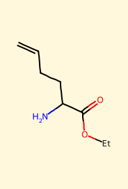 C=CCCC(N)C(=O)OCC